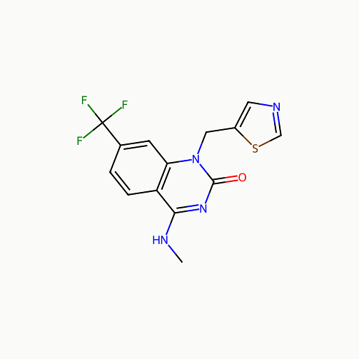 CNc1nc(=O)n(Cc2cncs2)c2cc(C(F)(F)F)ccc12